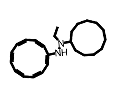 CCN(NC1=C/C=C\C=C/C=C\C=C/C=C\1)C1CCCCCCCCCC1